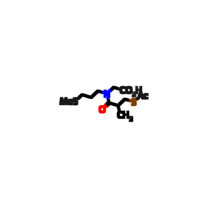 CSCCCN(CC(=O)O)C(=O)C(C)CSC(C)=O